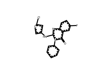 O=c1c2cc(F)ccc2nc(Nc2csc(Cl)c2)n1-c1ccccc1